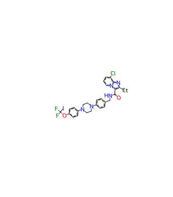 CCc1nc2c(Cl)cccn2c1C(=O)NCc1ccc(N2CCN(c3ccc(OC(F)(F)I)cc3)CC2)cc1